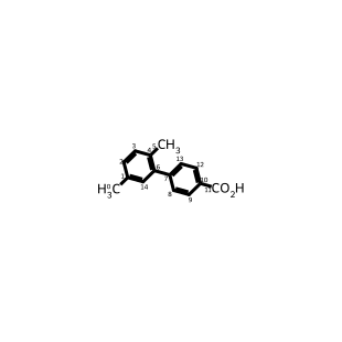 Cc1ccc(C)c(-c2ccc(C(=O)O)cc2)c1